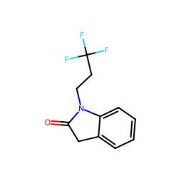 O=C1Cc2ccccc2N1CCC(F)(F)F